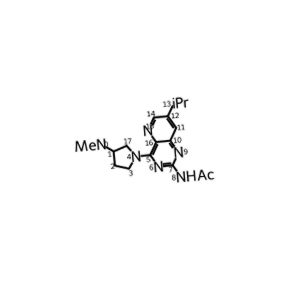 CNC1CCN(c2nc(NC(C)=O)nc3cc(C(C)C)cnc23)C1